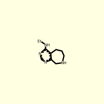 CCNc1ncnc2c1CCCNC2